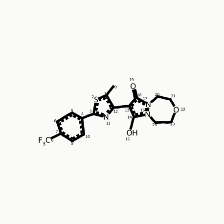 Cc1sc(-c2ccc(C(F)(F)F)cc2)nc1-c1c(O)n2n(c1=O)CCOCC2